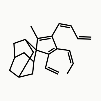 C=C/C=C\C1=C(C)C2(C(C=C)=C1/C=C\C)C1CC3CC(C1)CC2C3